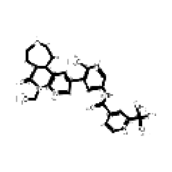 CCN1C(=O)C2CCOCCC2c2cc(-c3cc(NC(=O)c4ccnc(C(C)(C)F)c4)cnc3C)cnc21